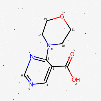 O=C(O)c1cn[c]nc1N1CCOCC1